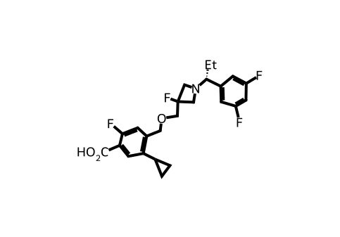 CC[C@H](c1cc(F)cc(F)c1)N1CC(F)(COCc2cc(F)c(C(=O)O)cc2C2CC2)C1